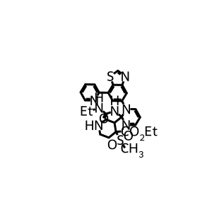 CCNC(=O)NC1(C2CNCCC2(C(=O)OCC)S(C)(=O)=O)N=CC=CN1c1cc(-c2ccccn2)c2scnc2c1